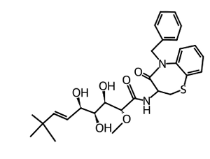 CO[C@@H](C(=O)NC1CSc2ccccc2N(Cc2ccccc2)C1=O)[C@H](O)[C@@H](O)[C@H](O)/C=C/C(C)(C)C